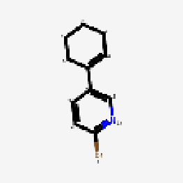 Brc1ccc(C2=CCCCC2)cn1